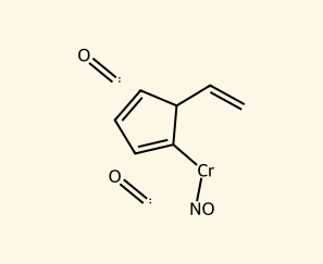 C=CC1C=CC=[C]1[Cr][N]=O.[C]=O.[C]=O